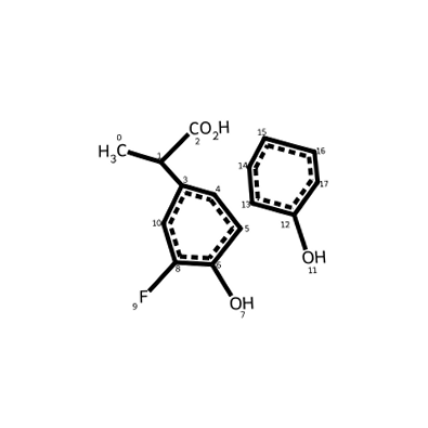 CC(C(=O)O)c1ccc(O)c(F)c1.Oc1ccccc1